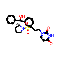 O=c1ccn(CCCS(=O)(=O)N2CCC[C@@H]2C(O)(c2ccccc2)c2ccccc2)c(=O)[nH]1